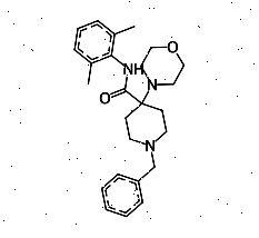 Cc1cccc(C)c1NC(=O)C1(N2CCOCC2)CCN(Cc2ccccc2)CC1